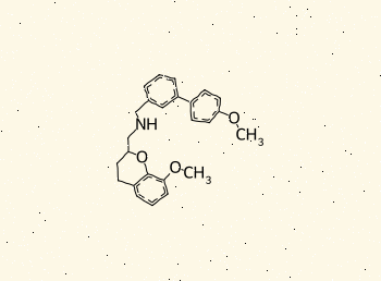 COc1ccc(-c2cccc(CNCC3CCc4cccc(OC)c4O3)c2)cc1